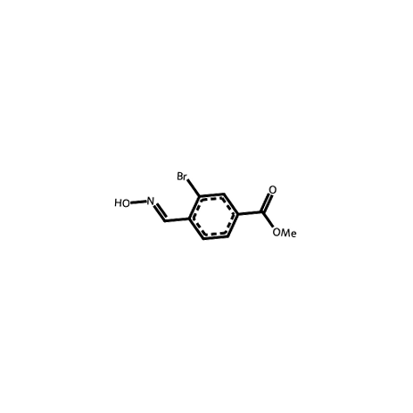 COC(=O)c1ccc(/C=N/O)c(Br)c1